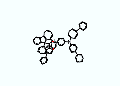 C1=CCC2=C(C(N(c3ccc(-c4ccccc4)cc3)c3ccc(N(C4=CCC=C(c5ccccc5)C=C4)c4ccc(-c5ccccc5)cc4)cc3)=C1)C1(c3ccccc32)c2ccccc2-c2ccccc21